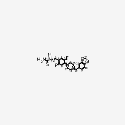 NC(=S)N/N=C/c1cc(F)c(N2CCN(Cc3ccc4c(c3)OCO4)CC2)cc1F